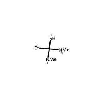 CCC(S)(NC)NC